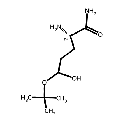 CC(C)(C)OC(O)CC[C@H](N)C(N)=O